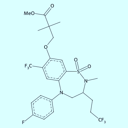 COC(=O)C(C)(C)COc1cc2c(cc1C(F)(F)F)N(c1ccc(F)cc1)CC(CCC(F)(F)F)N(C)S2(=O)=O